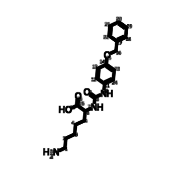 NCCCCCC(NC(=O)Nc1ccc(OCc2ccccc2)cc1)C(=O)O